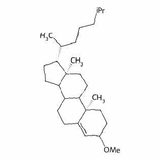 COC1C=C2CCC3C(CC[C@@]4(C)C3CC[C@@H]4C(C)CCCC(C)C)[C@@]2(C)CC1